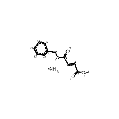 N.O=C(O)C=CC(=O)OCc1ccccc1